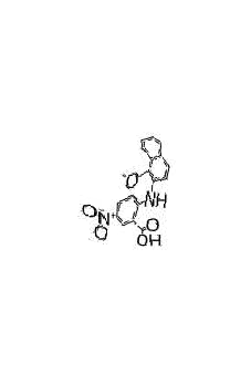 COc1c(Nc2ccc([N+](=O)[O-])cc2C(=O)O)ccc2ccccc12